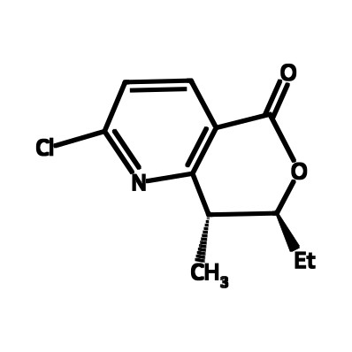 CC[C@@H]1OC(=O)c2ccc(Cl)nc2[C@H]1C